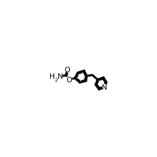 NC(=O)Oc1ccc(Cc2ccncc2)cc1